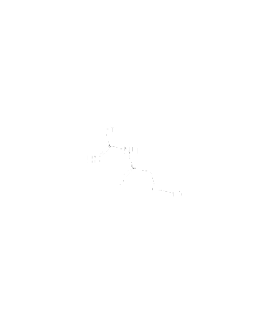 CC(C)OCC(=O)NC(=N)C(C)C